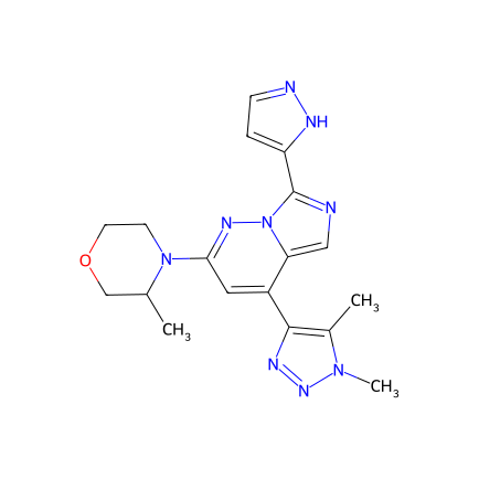 Cc1c(-c2cc(N3CCOCC3C)nn3c(-c4ccn[nH]4)ncc23)nnn1C